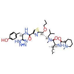 CCCO[C@H](C[C@H](C(C)C)N(C)C(=O)[C@@H](NC(=O)[C@H]1CCCCN1C)[C@@H](C)CC)c1nc(C(=O)N[C@@H](Cc2ccc(O)cc2)c2nnn[nH]2)cs1